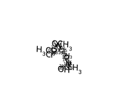 Cc1cc(C(=O)N(C)C2CCC(c3ccc(CN(C)CCCO)cc3)CC2)ccc1Cl